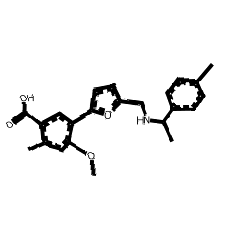 COc1cc(C)c(C(=O)O)cc1-c1ccc(CNC(C)c2ccc(C)cc2)o1